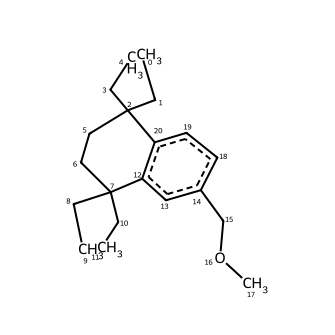 CCC1(CC)CCC(CC)(CC)c2cc(COC)ccc21